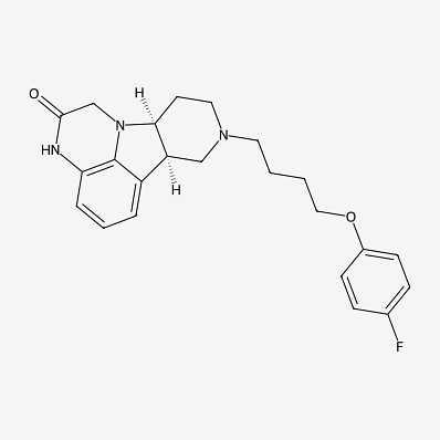 O=C1CN2c3c(cccc3[C@@H]3CN(CCCCOc4ccc(F)cc4)CC[C@@H]32)N1